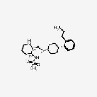 CCCc1ccccc1[C@H]1CC[C@@H](OC[C@@H]2NCCC[C@@H]2NS(C)(=O)=O)CC1